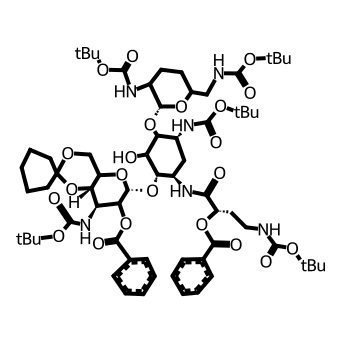 CC(C)(C)OC(=O)NCC[C@H](OC(=O)c1ccccc1)C(=O)N[C@@H]1C[C@@H](NC(=O)OC(C)(C)C)C(O[C@H]2OC(CNC(=O)OC(C)(C)C)CCC2NC(=O)OC(C)(C)C)C(O)[C@H]1O[C@H]1OC2COC3(CCCCC3)O[C@H]2[C@H](NC(=O)OC(C)(C)C)C1OC(=O)c1ccccc1